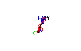 CC(C)NC(=O)CN1CCN(CCCCCOc2ccc3c(-c4ccc(Cl)cc4)noc3c2)CC1